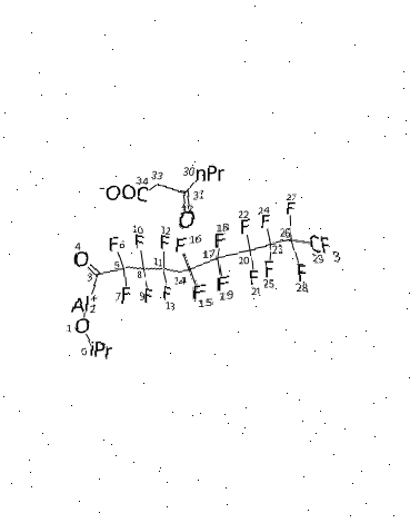 CC(C)[O][Al+][C](=O)C(F)(F)C(F)(F)C(F)(F)C(F)(F)C(F)(F)C(F)(F)C(F)(F)C(F)(F)C(F)(F)F.CCCC(=O)CC(=O)[O-]